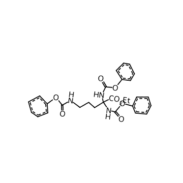 CCOC(=O)C(CCCNC(=O)Oc1ccccc1)(NC(=O)Oc1ccccc1)NC(=O)Oc1ccccc1